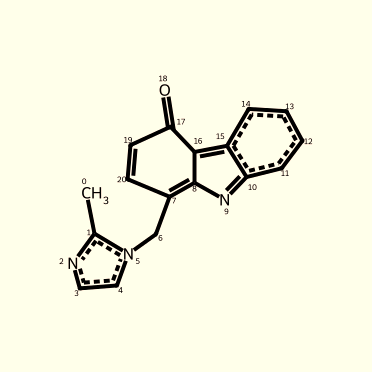 Cc1nccn1CC1=C2N=c3ccccc3=C2C(=O)C=C1